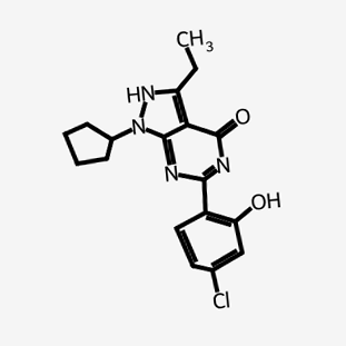 CCc1[nH]n(C2CCCC2)c2nc(-c3ccc(Cl)cc3O)nc(=O)c1-2